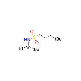 CC[C@@H](NS(=O)(=O)CCCC(C)(C)C)C(C)(C)C